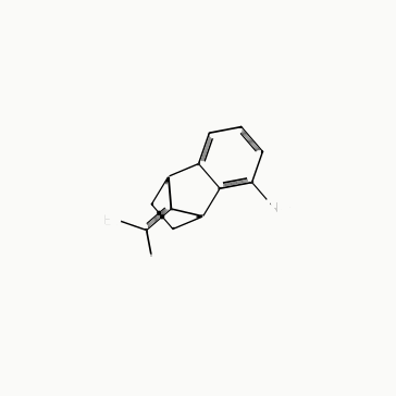 CCC(CC)=C1C2CCC1c1c(N=O)cccc12